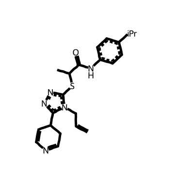 C=CCn1c(SC(C)C(=O)Nc2ccc(C(C)C)cc2)nnc1C1C=CN=CC1